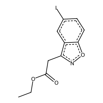 CCOC(=O)Cc1noc2ccc(I)cc12